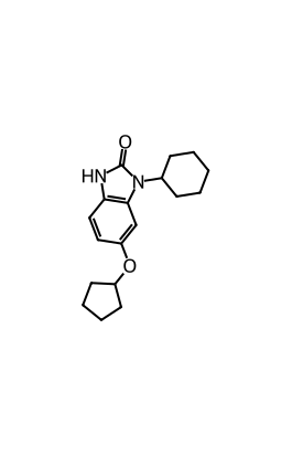 O=c1[nH]c2ccc(OC3CCCC3)cc2n1C1CCCCC1